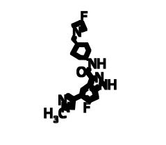 Cn1cc(-c2cc3c(C(=O)N[C@H]4CC[C@H](CN5CC(F)C5)CC4)n[nH]c3cc2F)cn1